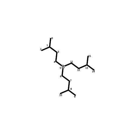 CC(C)CCB(CCC(C)C)CCC(C)C